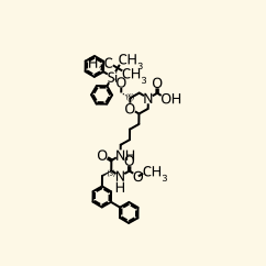 COC(=O)N[C@@H](Cc1cccc(-c2ccccc2)c1)C(=O)NCCCCC1CN(C(=O)O)C[C@@H](CO[Si](c2ccccc2)(c2ccccc2)C(C)(C)C)O1